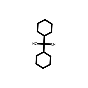 N#CC(C#N)(C1CCCCC1)C1CCCCC1